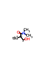 CN(C)C(=O)C(CO)C(C)(C)C